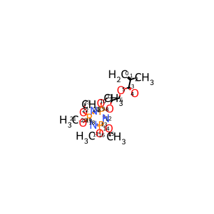 C=C(C)C(=O)OCCOP1(OC)=NP(OC)(OC)=NP(OC)(OC)=N1